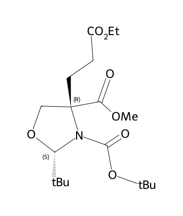 CCOC(=O)CC[C@]1(C(=O)OC)CO[C@@H](C(C)(C)C)N1C(=O)OC(C)(C)C